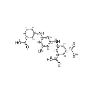 O=C(O)c1cccc(Nc2nc(Cl)nc(Nc3cc(C(=O)O)cc(C(=O)O)c3)n2)c1